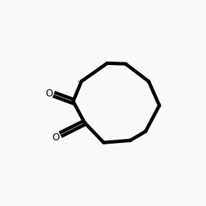 O=C1[CH]CCCCCCCC1=O